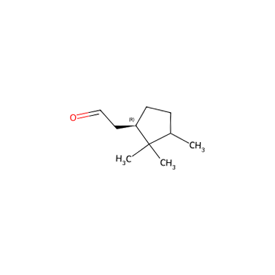 CC1CC[C@H](CC=O)C1(C)C